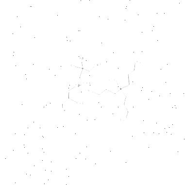 CCC(N)(CO)CO.NC(CCCO)(CCCO)CCCO.NCC(O)CO